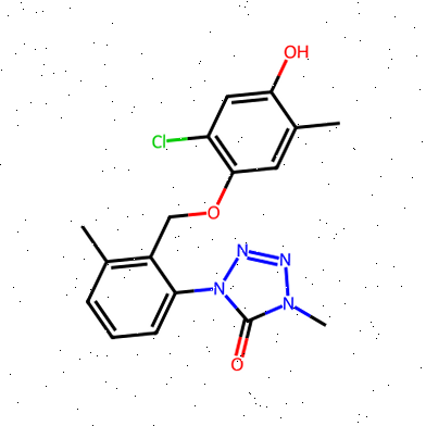 Cc1cc(OCc2c(C)cccc2-n2nnn(C)c2=O)c(Cl)cc1O